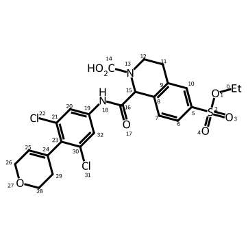 CCOS(=O)(=O)c1ccc2c(c1)CCN(C(=O)O)C2C(=O)Nc1cc(Cl)c(C2=CCOCC2)c(Cl)c1